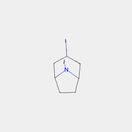 IC1CC2CCC(C1)N2I